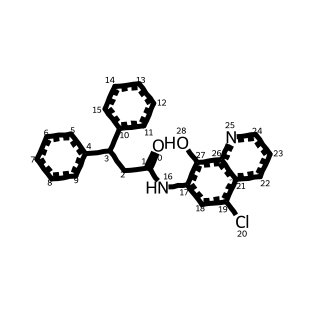 O=C(CC(c1ccccc1)c1ccccc1)Nc1cc(Cl)c2cccnc2c1O